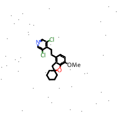 COc1ccc(CCc2c(Cl)cncc2Cl)c2c1OC1(CCCCC1)C2